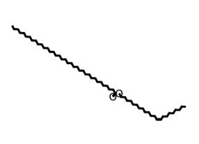 CCCCCCCC/C=C\CCCCCCCCCCCCOC(=O)CCCCCCCCCCCCCCCCCCCCCCCCCCCCCCCCCCC